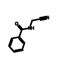 N#CCNC(=O)c1c[c]ccc1